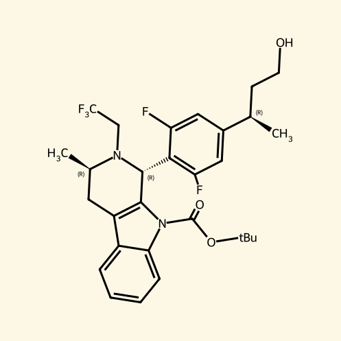 C[C@H](CCO)c1cc(F)c([C@@H]2c3c(c4ccccc4n3C(=O)OC(C)(C)C)C[C@@H](C)N2CC(F)(F)F)c(F)c1